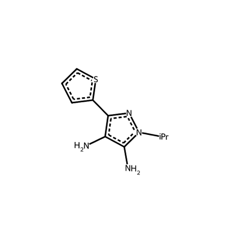 CC(C)n1nc(-c2cccs2)c(N)c1N